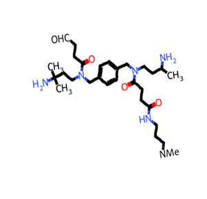 CNCCCNC(=O)CCC(=O)N(CCC(C)N)Cc1ccc(CN(CCC(C)(C)N)C(=O)CCC=O)cc1